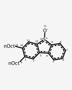 CCCCCCCCc1cc2c3ccccc3[s+]([O-])c2cc1CCCCCCCC